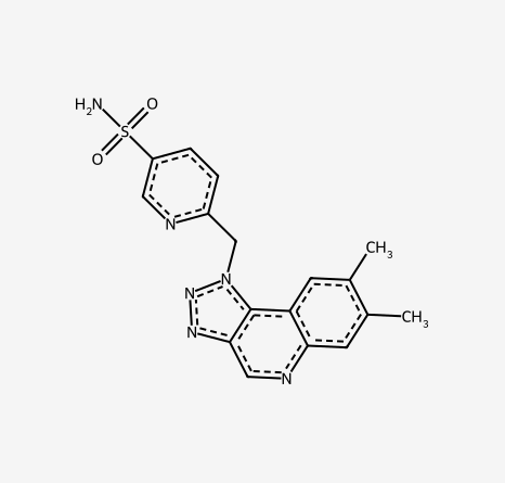 Cc1cc2ncc3nnn(Cc4ccc(S(N)(=O)=O)cn4)c3c2cc1C